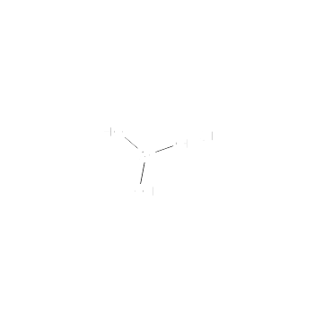 Cl.O[As](O)O